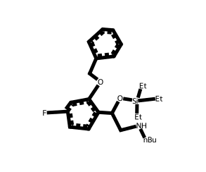 CCCCNCC(O[Si](CC)(CC)CC)c1ccc(F)cc1OCc1ccccc1